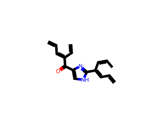 C=C/C=C(\C=C)C(=O)c1c[nH]c(C(/C=C\C)=C/C=C)n1